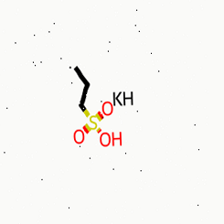 [CH2]CCS(=O)(=O)O.[KH]